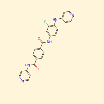 O=C(Nc1ccncc1)c1ccc(C(=O)Nc2ccc(Nc3ccncc3)c(F)c2)cc1